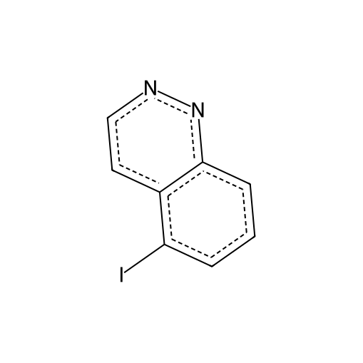 Ic1cccc2nnccc12